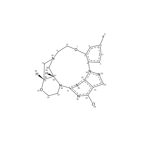 Fc1ccc2c(c1)OCCN1C[C@H]3OCCN(c4nc(Cl)c5cnn-2c5n4)[C@H]3C1